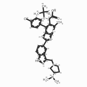 Cc1cc2nc(-c3ccc4[nH]nc(CN5CC[C@H](N(C)C)C5)c4c3)sc2c(-c2ccc(Cl)cc2)c1[C@H](OC(C)(C)C)C(=O)O